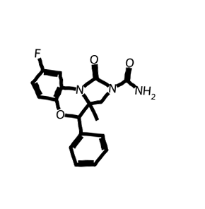 CC12CN(C(N)=O)C(=O)N1c1cc(F)ccc1OC2c1ccccc1